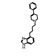 C1=C(c2ccccc2)CCN(CCCCc2cccc3[nH]cnc23)C1